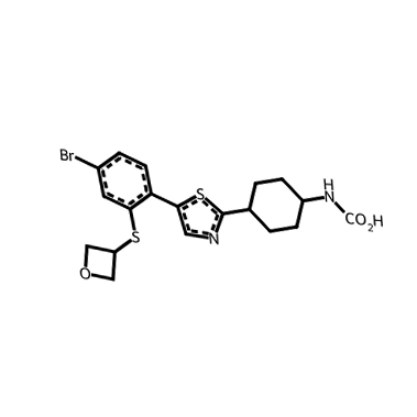 O=C(O)NC1CCC(c2ncc(-c3ccc(Br)cc3SC3COC3)s2)CC1